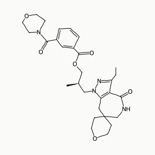 CCc1nn(C[C@@H](C)COC(=O)c2cccc(C(=O)N3CCOCC3)c2)c2c1C(=O)NCC1(CCOCC1)C2